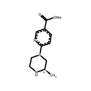 COC(=O)c1ccc(N2CCN[C@H](C)C2)nc1